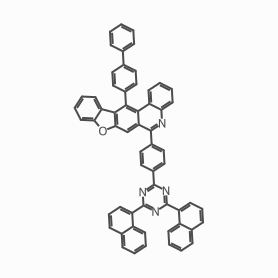 c1ccc(-c2ccc(-c3c4c(cc5c(-c6ccc(-c7nc(-c8cccc9ccccc89)nc(-c8cccc9ccccc89)n7)cc6)nc6ccccc6c35)oc3ccccc34)cc2)cc1